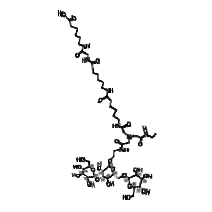 CCNC(=O)CN(CC(=O)NCCCCCC(=O)NCCCCCC(=O)NCC(=O)NCCCCCC(=O)O)CC(=O)NCCO[C@H]1O[C@H](CO[C@H]2O[C@H](CO)[C@@H](O)[C@H](O)[C@@H]2O)[C@@H](O)[C@H](O[C@H]2O[C@H](CO)[C@@H](O)[C@H](O)[C@@H]2O)[C@@H]1O